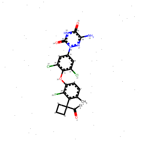 CCC(=O)C1(c2c(C)ccc(Oc3c(Cl)cc(-n4nc(N)c(=O)[nH]c4=O)cc3Cl)c2F)CCC1